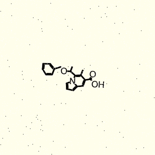 Cc1c(C(=O)O)cc2cccn2c1C(C)OCc1ccccc1